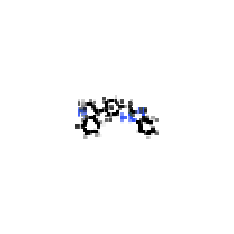 c1ccc2[nH]c(CC3CCC(c4ccnc5ccccc45)CC3)nc2c1